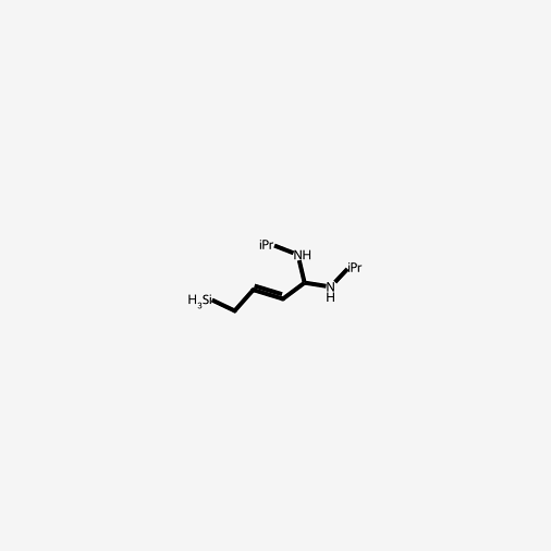 CC(C)NC(C=CC[SiH3])NC(C)C